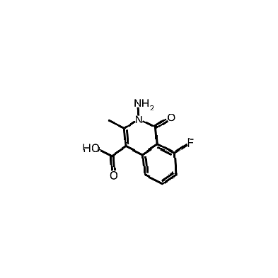 Cc1c(C(=O)O)c2cccc(F)c2c(=O)n1N